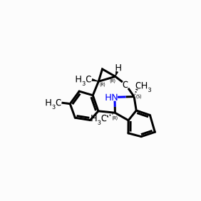 Cc1ccc2c(c1)[C@]1(C)C[C@@H]1C[C@]1(C)N[C@@]2(C)c2ccccc21